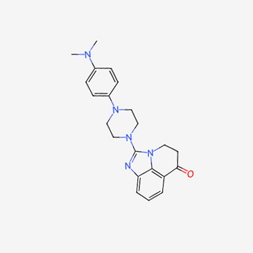 CN(C)c1ccc(N2CCN(c3nc4cccc5c4n3CCC5=O)CC2)cc1